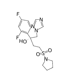 O=S(=O)(CC[C@](O)(Cn1cncn1)c1ccc(F)cc1F)N1CCCC1